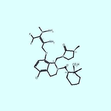 C[C@H]1CCN(C[C@@H]2c3c(OC/C(N)=C(\C(F)F)N(C)N)ccc(Cl)c3CCN2C(=O)[C@@H]2CCCC[C@]2(C)C(=O)O)C1=O